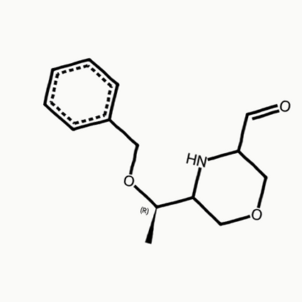 C[C@@H](OCc1ccccc1)C1COCC(C=O)N1